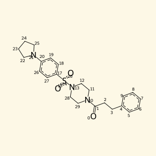 O=C(CCc1ccccc1)N1CCN(S(=O)(=O)c2ccc(N3CCCC3)cc2)CC1